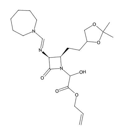 C=CCOC(=O)C(O)N1C(=O)[C@@H](N=CN2CCCCCC2)[C@H]1CCC1COC(C)(C)O1